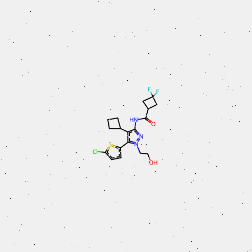 O=C(Nc1nn(CCO)c(-c2ccc(Cl)s2)c1C1CCC1)C1CC(F)(F)C1